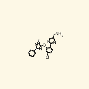 Cn1nc(-c2ccccc2)nc1Oc1cc(Cl)ccc1-c1ncc(CN)cn1